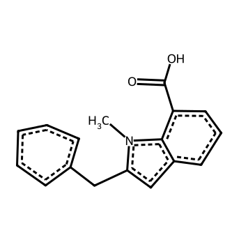 Cn1c(Cc2ccccc2)cc2cccc(C(=O)O)c21